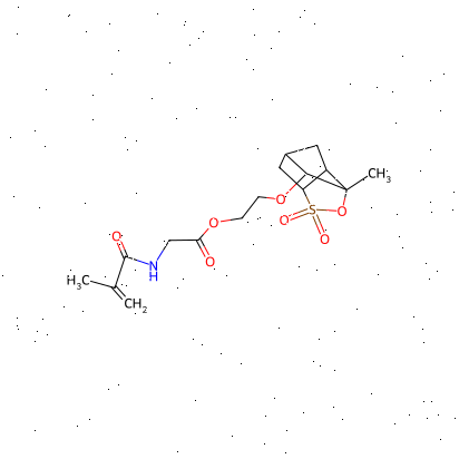 C=C(C)C(=O)NCC(=O)OCCOC1C2CC3C(C2)S(=O)(=O)OC31C